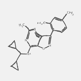 Cc1ccc(-c2noc3c(NC(C4CC4)C4CC4)nc(C)nc23)c(C)c1